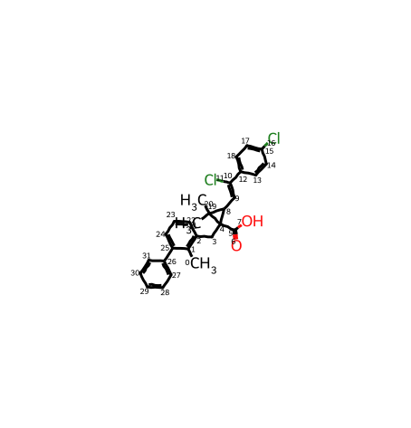 Cc1c(CC2(C(=O)O)C(C=C(Cl)c3ccc(Cl)cc3)C2(C)C)cccc1-c1ccccc1